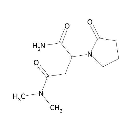 CN(C)C(=O)CC(C(N)=O)N1CCCC1=O